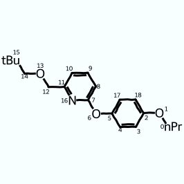 CCCOc1ccc(Oc2cccc(COCC(C)(C)C)n2)cc1